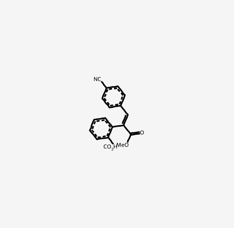 COC(=O)C(=Cc1ccc(C#N)cc1)c1ccccc1C(=O)O